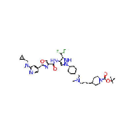 CN(CCCC1CCN(C(=O)OC(C)(C)C)CC1)C[C@H]1CC[C@H](N2C=C(NC(=O)c3coc(-c4ccnc(N(C)CC5CC5)c4)n3)C(C(F)F)N2)CC1